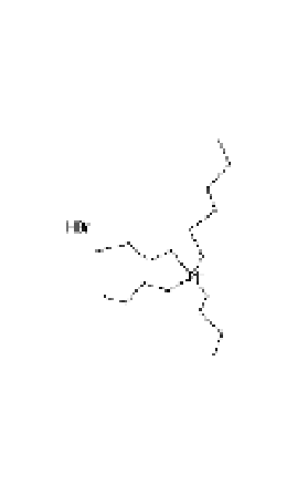 Br.CCCCCC[PH](CCCC)(CCCC)CCCC